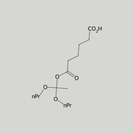 CCCOC(C)(OCCC)OC(=O)CCCCC(=O)O